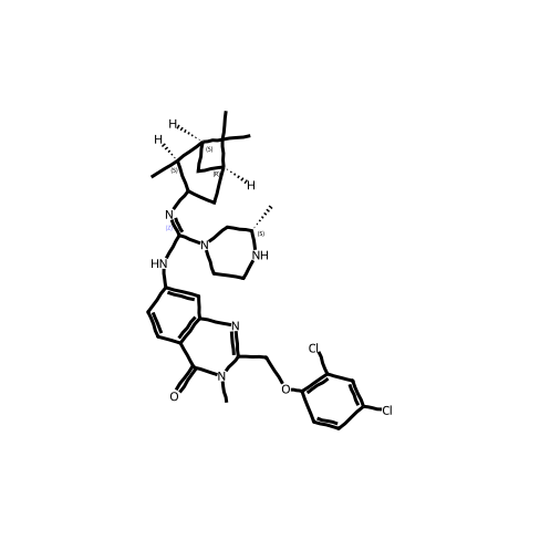 C[C@@H]1C(/N=C(/Nc2ccc3c(=O)n(C)c(COc4ccc(Cl)cc4Cl)nc3c2)N2CCN[C@@H](C)C2)C[C@H]2C[C@@H]1C2(C)C